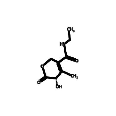 CCNC(=O)C1=C(C)[C@H](O)C(=O)OC1